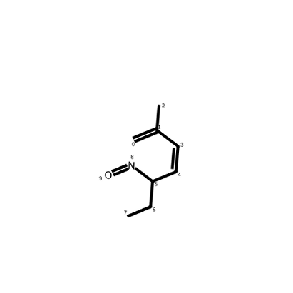 C=C(C)/C=C\C(CC)N=O